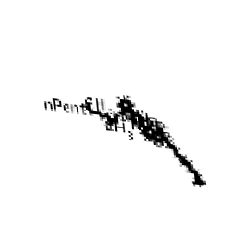 CCCCCC(C)CCCCC(C)CC[SiH2]c1ccccc1-c1cnc(-c2ccc3c(c2F)C(F)(F)C(CCCCCCCCCC2CC2)O3)nc1